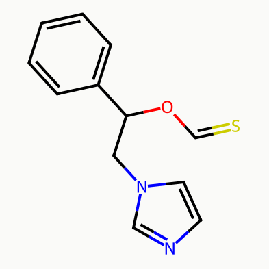 S=COC(Cn1ccnc1)c1ccccc1